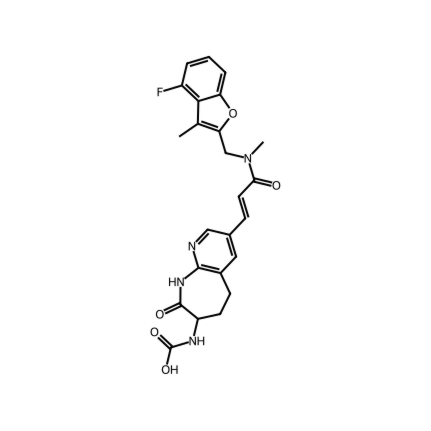 Cc1c(CN(C)C(=O)/C=C/c2cnc3c(c2)CCC(NC(=O)O)C(=O)N3)oc2cccc(F)c12